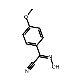 COc1ccc(/C(C#N)=N/O)cc1